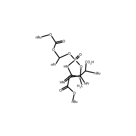 CCCCOC(=O)OC(CCC)OP(=O)(NC(=N)N(C)C(CCCC)C(=O)O)OC(CCC)OC(=O)OCCCC